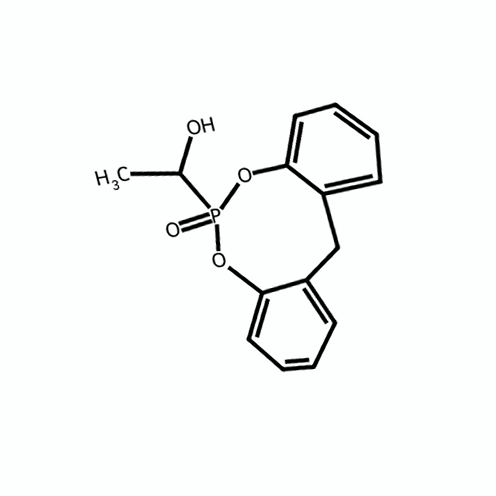 CC(O)P1(=O)Oc2ccccc2Cc2ccccc2O1